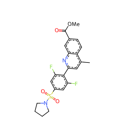 COC(=O)c1ccc2c(C)cc(-c3c(F)cc(S(=O)(=O)N4CCCC4)cc3F)nc2c1